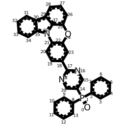 O=P(c1ccccc1)(c1ccccc1)c1cnc(-c2ccc3c(c2)Oc2cccc4c5ccccc5n-3c24)nc1